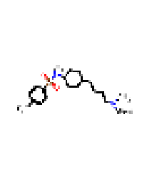 CCCCCN(C)CCCCC1CCC(N(C)S(=O)(=O)c2ccc(C(F)(F)F)cc2)CC1